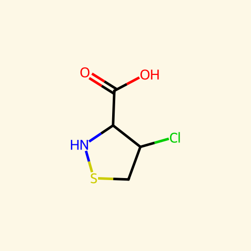 O=C(O)C1NSCC1Cl